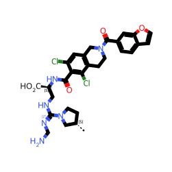 C[C@H]1CCN(/C(=N\CN)NC[C@H](NC(=O)c2c(Cl)cc3c(c2Cl)CCN(C(=O)c2ccc4ccoc4c2)C3)C(=O)O)C1